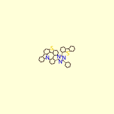 c1ccc(-c2nc(-c3cccc4c3sc3ccccc34)nc(-c3cccc4c3c3cccc5sc6ccc7c8ccccc8n4c7c6c53)n2)cc1